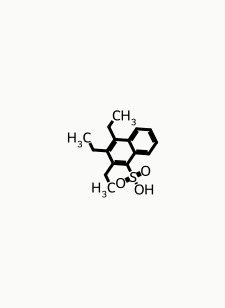 CCc1c(CC)c(S(=O)(=O)O)c2ccccc2c1CC